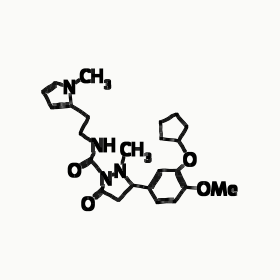 COc1ccc(C2CC(=O)N(C(=O)NCCc3cccn3C)N2C)cc1OC1CCCC1